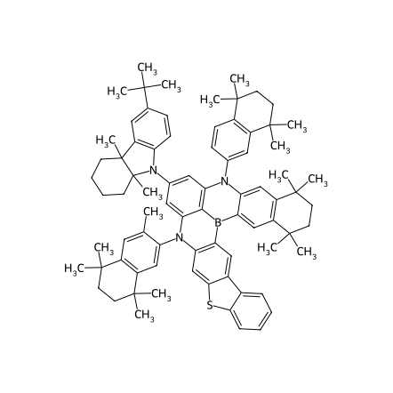 Cc1cc2c(cc1N1c3cc4sc5ccccc5c4cc3B3c4cc5c(cc4N(c4ccc6c(c4)C(C)(C)CCC6(C)C)c4cc(N6c7ccc(C(C)(C)C)cc7C7(C)CCCCC67C)cc1c43)C(C)(C)CCC5(C)C)C(C)(C)CCC2(C)C